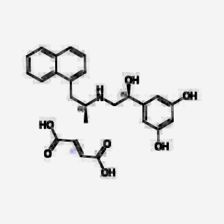 C[C@@H](Cc1cccc2ccccc12)NC[C@@H](O)c1cc(O)cc(O)c1.O=C(O)/C=C/C(=O)O